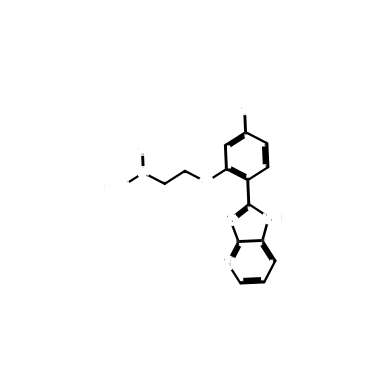 Cc1ccc(-c2nc3ncccc3[nH]2)c(OCC[S+](C)[O-])c1